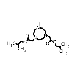 CC(C)COC(=O)CN1CCNCCN(CC(=O)OCC(C)C)CC1